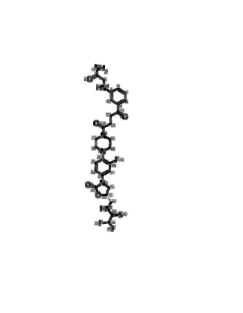 NC(=O)CNc1cccc(C(=O)CCC(=O)N2CCN(c3ccc(N4C[C@H](CNC(=S)C(F)F)OC4=O)cc3F)CC2)c1